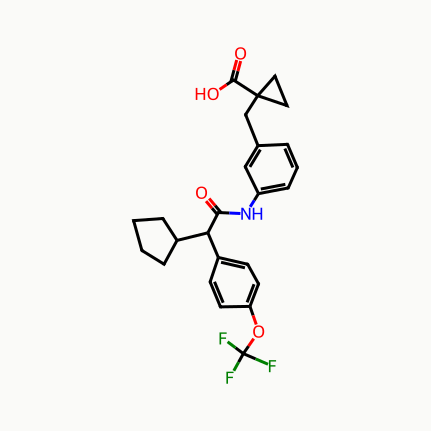 O=C(Nc1cccc(CC2(C(=O)O)CC2)c1)C(c1ccc(OC(F)(F)F)cc1)C1CCCC1